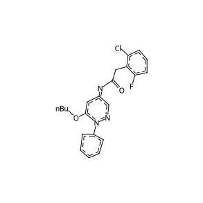 CCCCOc1c/c(=N/C(=O)Cc2c(F)cccc2Cl)cnn1-c1ccccc1